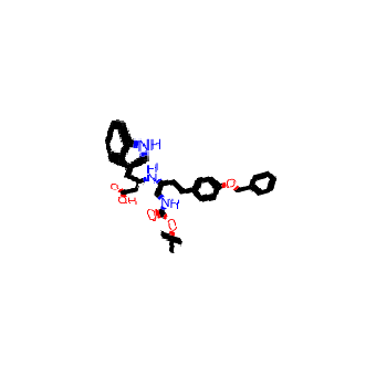 CC(C)(C)OC(=O)NCC(CCc1ccc(OCc2ccccc2)cc1)N[C@@H](CC(=O)O)Cc1c[nH]c2ccccc12